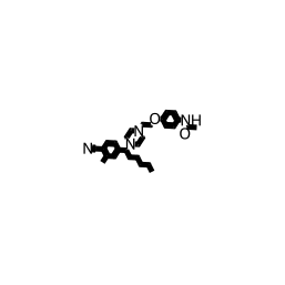 CCCCCC(c1ccc(C#N)c(C)c1)N1CCN(CCOc2ccc(NC(C)=O)cc2)CC1